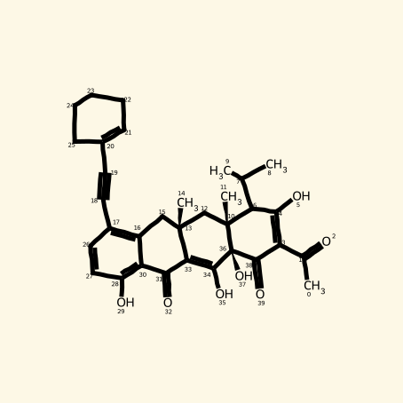 CC(=O)C1=C(O)C(C(C)C)[C@@]2(C)C[C@@]3(C)Cc4c(C#CC5=CCCCC5)ccc(O)c4C(=O)C3=C(O)[C@@]2(O)C1=O